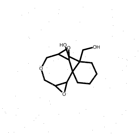 OCC1(CO)CCCCC12C1OC1COCC1OC12